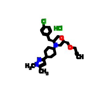 C#CCOC[C@H]1CN(C2CCC(c3cc(C)n(C)n3)CC2)[C@@H](Cc2ccc(Cl)cc2)CO1.Cl